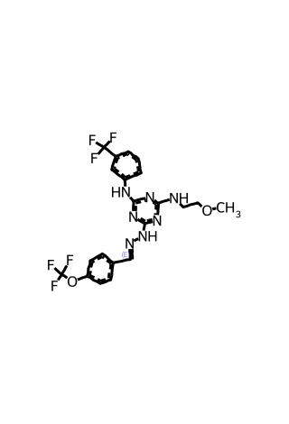 COCCNc1nc(N/N=C/c2ccc(OC(F)(F)F)cc2)nc(Nc2cccc(C(F)(F)F)c2)n1